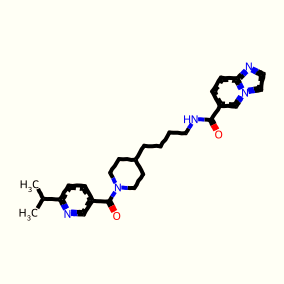 CC(C)c1ccc(C(=O)N2CCC(CCCCNC(=O)c3ccc4nccn4c3)CC2)cn1